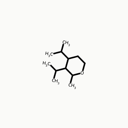 CC(C)C1CCOC(C)C1C(C)C